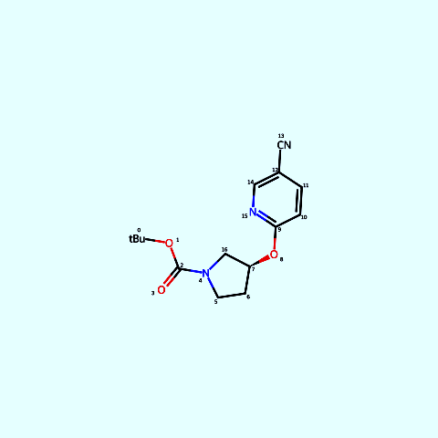 CC(C)(C)OC(=O)N1CC[C@H](Oc2ccc(C#N)cn2)C1